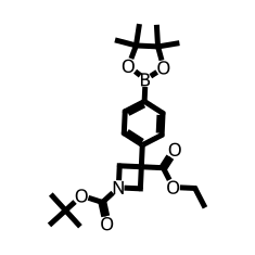 CCOC(=O)C1(c2ccc(B3OC(C)(C)C(C)(C)O3)cc2)CN(C(=O)OC(C)(C)C)C1